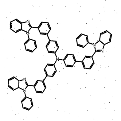 C1=CC2N=C(c3cccc(-c4ccc(N(c5ccc(-c6cccc(C7=NC8C=CC=CC8N7c7ccccc7)c6)cc5)c5ccc(-c6cccc(-c7nc8ccccc8n7-c7ccccc7)c6)cc5)cc4)c3)N(c3ccccc3)C2C=C1